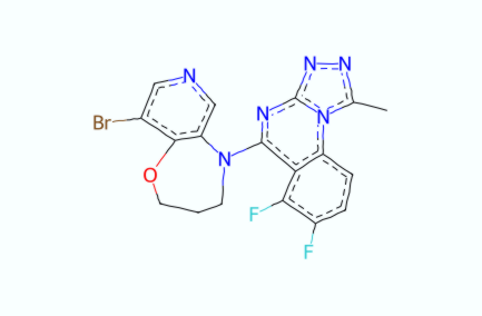 Cc1nnc2nc(N3CCCOc4c(Br)cncc43)c3c(F)c(F)ccc3n12